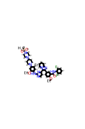 CCOc1cc(N2CCC(N3CCN(S(C)(=O)=O)CC3)CC2)c(CC)cc1Nc1nccc(-c2c(-c3ccc(OCC)c(C(=O)Nc4c(F)cccc4F)c3)nc3ccccn23)n1